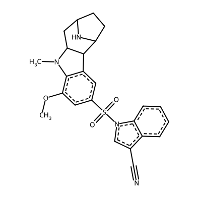 COc1cc(S(=O)(=O)n2cc(C#N)c3ccccc32)cc2c1N(C)C1CC3CCC(N3)C21